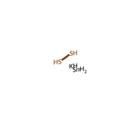 SS.[KH].[SnH2]